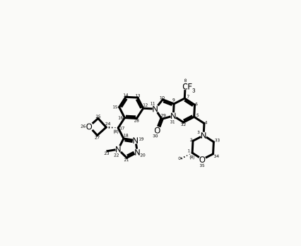 C[C@@H]1CN(Cc2cc(C(F)(F)F)c3cn(-c4cccc([C@H](c5nncn5C)C5COC5)c4)c(=O)n3c2)CCO1